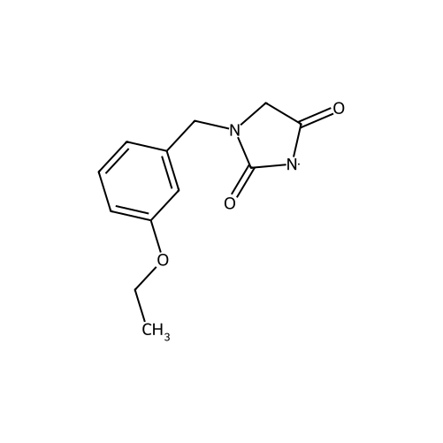 CCOc1cccc(CN2CC(=O)[N]C2=O)c1